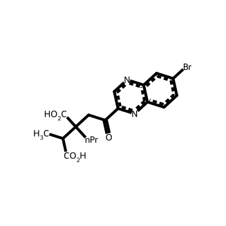 CCCC(CC(=O)c1cnc2cc(Br)ccc2n1)(C(=O)O)C(C)C(=O)O